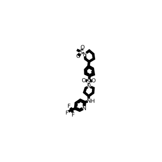 CS(=O)(=O)N1CCCC(c2ccc(S(=O)(=O)N3CCC(Nc4ccc(C(F)(F)F)cn4)CC3)cc2)C1